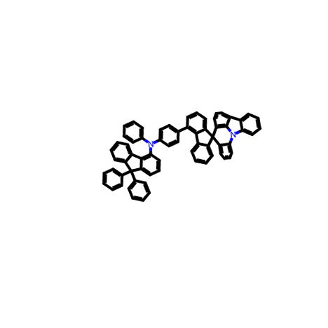 c1ccc(N(c2ccc(-c3cccc4c3-c3ccccc3C43c4ccccc4-n4c5ccccc5c5cccc3c54)cc2)c2cccc3c2-c2ccccc2C3(c2ccccc2)c2ccccc2)cc1